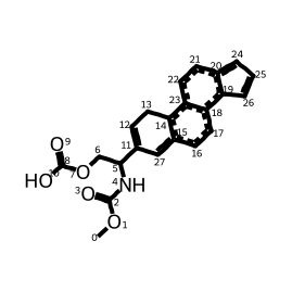 COC(=O)NC(COC(=O)O)C1=CCc2c(ccc3c4c(ccc23)=CC=C4)=C1